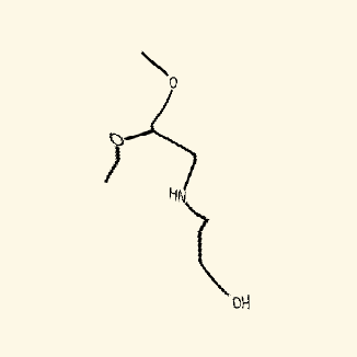 COC(CNCCO)OC